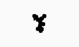 c1ccc(-c2ccc(-n3c4cc(-c5ccc6ccccc6n5)ccc4c4ccc(-c5ccccc5-c5cccc(N(c6ccccc6)c6cccc7ccccc67)c5)cc43)cc2)cc1